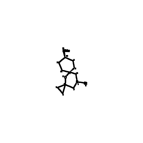 CCN1CC2(CC2)O[C@]2(CC[C@H](NC)CC2)C1